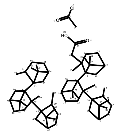 CC(=O)O.CC1CCC2CC1(C1(C)CCC3CC1(C14CC(CCC1(C)CC(=O)O)C4(C)C)C3(C)C)C2(C)C.CC1CCC2CC1(C1(C)CCC3CC1(C14CC(CCC1C)C4(C)C)C3(C)C)C2(C)C